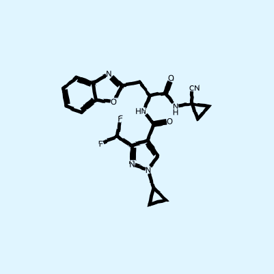 N#CC1(NC(=O)C(Cc2nc3ccccc3o2)NC(=O)c2cn(C3CC3)nc2C(F)F)CC1